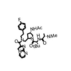 CN[C@@H](C)C(=O)N[C@H](C(=O)N1C[C@@H](NC(C)=O)CC1CN(CCc1ccc(F)cc1)C(=O)c1cn2cccnc2n1)C(C)(C)C